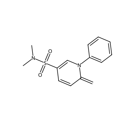 C=C1C=CC(S(=O)(=O)N(C)C)=CN1c1ccccc1